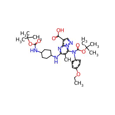 CCOc1ccc(N(C(=O)OC(C)(C)C)c2c(C)c(NC3CCC(NC(=O)OC(C)(C)C)CC3)nc3c(C(=O)O)cnn23)cc1